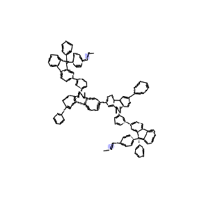 C/C=C/c1ccc(C2(c3ccccc3)c3ccccc3-c3ccc(-c4cccc(-n5c6ccc(-c7ccccc7)cc6c6ccc(-c7ccc8c9cc(-c%10ccccc%10)ccc9n(-c9cccc(-c%10ccc%11c(c%10)C(c%10ccccc%10)(c%10ccc(/C=C/C)cc%10)c%10ccccc%10-%11)c9)c8c7)cc65)c4)cc32)cc1